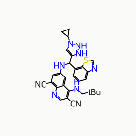 CC(C)(C)CNc1c(C#N)cnc2c(C#N)cc(NC(C3=CN(C4CC4)NN3)c3cccc4ncsc34)cc12